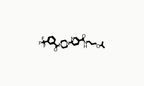 CC(C)OCCCNC(=O)c1ccc(N2CCN(C(=O)c3cccc(C(F)(F)F)c3)CC2)nc1